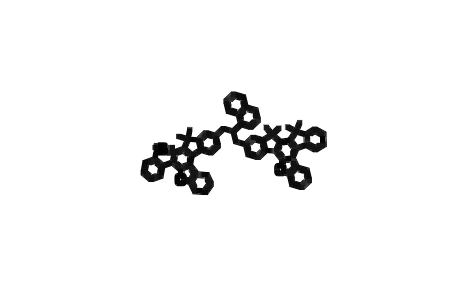 CC(C)(C)c1ccccc1-c1cc2c(c3c1oc1ccccc13)-c1ccc(CC(Cc3ccc4c(c3)C(C)(C)c3c5c(c6c(oc7ccccc76)c3-4)-c3ccccc3C5(C)C)c3cccc4ccccc34)cc1C2(C)C